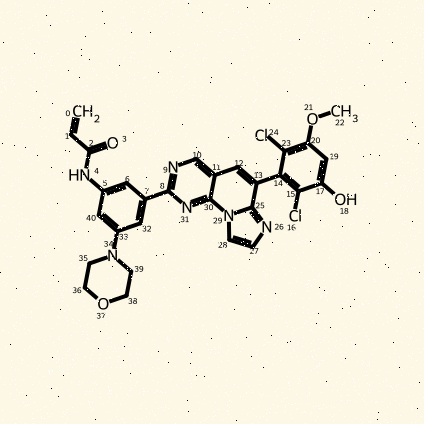 C=CC(=O)Nc1cc(-c2ncc3cc(-c4c(Cl)c(O)cc(OC)c4Cl)c4nccn4c3n2)cc(N2CCOCC2)c1